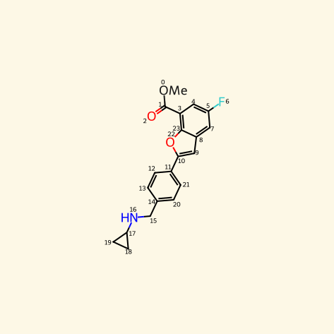 COC(=O)c1cc(F)cc2cc(-c3ccc(CNC4CC4)cc3)oc12